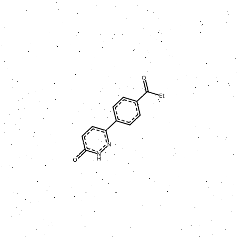 CCC(=O)c1ccc(-c2ccc(=O)[nH]n2)cc1